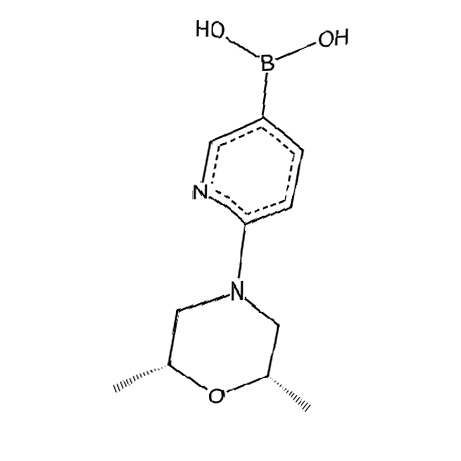 C[C@@H]1CN(c2ccc(B(O)O)cn2)C[C@H](C)O1